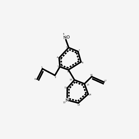 C=CCc1cc(N=O)ccc1-c1cnccc1C=C